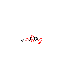 CCCCOCC1COc2ccc(C(=O)OC)cc2O1